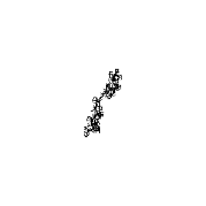 O=C1CCC(N2C(=O)c3cc(F)c(N4CCN(C(=O)CCCCCCNCCOc5c(-c6csc(N7CCOCC7)n6)ccc(F)c5F)CC4)cc3C2=O)C(=O)N1